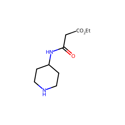 CCOC(=O)CC(=O)NC1CCNCC1